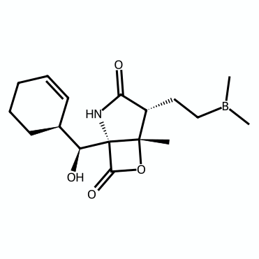 CB(C)CC[C@H]1C(=O)N[C@@]2([C@@H](O)[C@@H]3C=CCCC3)C(=O)O[C@@]12C